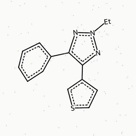 CCn1nc(-c2ccccc2)c(-c2ccsc2)n1